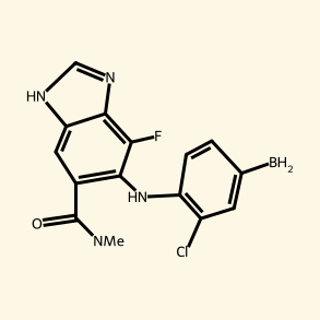 Bc1ccc(Nc2c(C(=O)NC)cc3[nH]cnc3c2F)c(Cl)c1